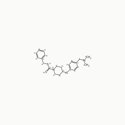 CN(C)Cc1ccc(SC2CCN(C(=S)SCc3ccccc3)CC2)cc1